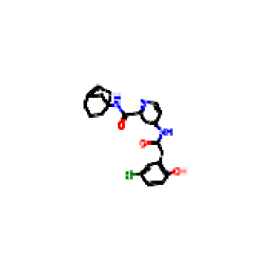 O=C(Cc1cc(Cl)ccc1O)Nc1ccnc(C(=O)NC23CC=C(CCC2)C3)c1